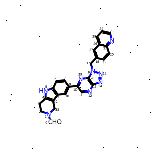 O=CN1CCc2[nH]c3ccc(-c4cnc5nnn(Cc6ccc7ncccc7c6)c5n4)cc3c2C1